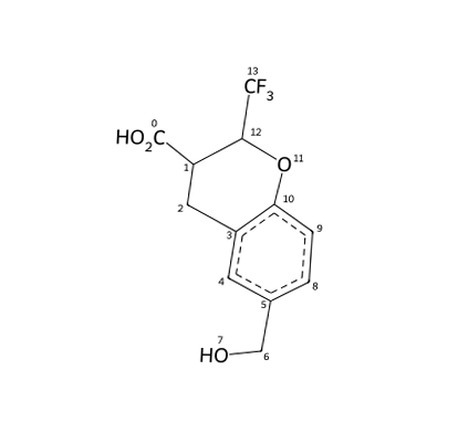 O=C(O)C1Cc2cc(CO)ccc2OC1C(F)(F)F